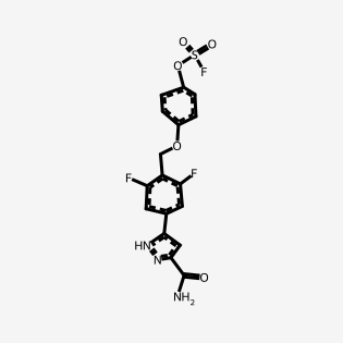 NC(=O)c1cc(-c2cc(F)c(COc3ccc(OS(=O)(=O)F)cc3)c(F)c2)[nH]n1